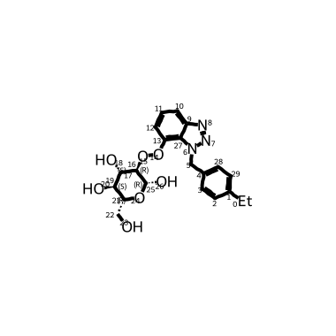 CCc1ccc(Cn2nnc3cccc(OO[C@@H]4[C@@H](O)[C@H](O)[C@@H](CO)O[C@H]4O)c32)cc1